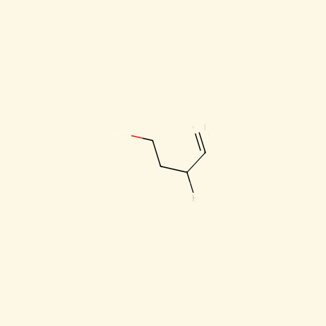 C=CC(CC)CCO